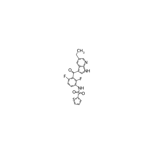 CCc1cnc2[nH]cc(C(=O)c3c(F)ccc(NS(=O)(=O)c4cccs4)c3F)c2c1